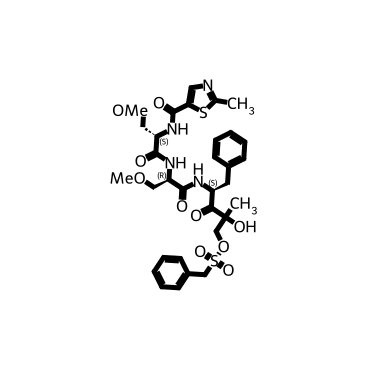 COC[C@H](NC(=O)c1cnc(C)s1)C(=O)N[C@H](COC)C(=O)N[C@@H](Cc1ccccc1)C(=O)C(C)(O)COS(=O)(=O)Cc1ccccc1